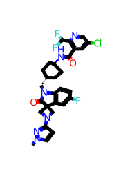 Cn1ccc(N2CC3(C2)C(=O)N(C[C@H]2CC[C@H](NC(=O)c4cc(Cl)cnc4C(F)F)CC2)c2ccc(F)cc23)n1